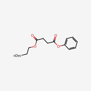 CCCCCCCCCCCCOC(=O)[CH]CC(=O)Oc1ccccc1